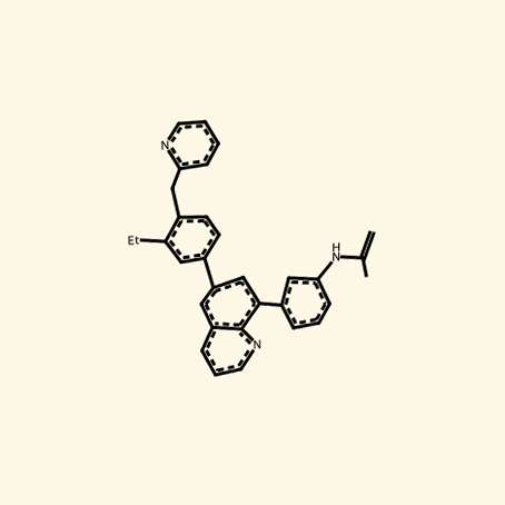 C=C(C)Nc1cccc(-c2cc(-c3ccc(Cc4ccccn4)c(CC)c3)cc3cccnc23)c1